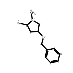 CC(C)C1CC(OCc2ccccc2)CN1C